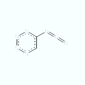 [N-]=[N+]=Nc1cnnnn1